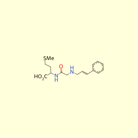 CSCCC(NC(=O)CNCC=Cc1ccccc1)C(=O)O